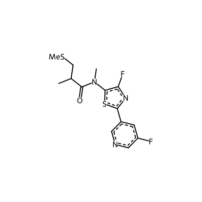 CSCC(C)C(=O)N(C)c1sc(-c2cncc(F)c2)nc1F